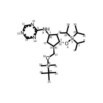 CC(C)[Si](O[C@H]1C[C@H](Nc2ncncn2)C[C@@H]1CO[Si](C)(C)C(C)(C)C)(C(C)C)C(C)C